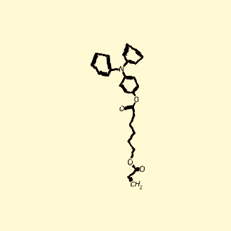 C=CC(=O)OCCCCCC(=O)Oc1ccc(N(c2ccccc2)c2ccccc2)cc1